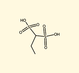 CCC(S(=O)(=O)O)S(=O)(=O)O